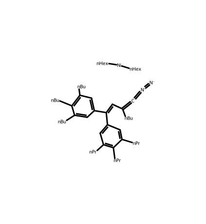 CCCCC(=C=[N+]=[N-])C=C(c1cc(CCC)c(CCC)c(CCC)c1)c1cc(CCCC)c(CCCC)c(CCCC)c1.CCCCC[CH2][Ni][CH2]CCCCC